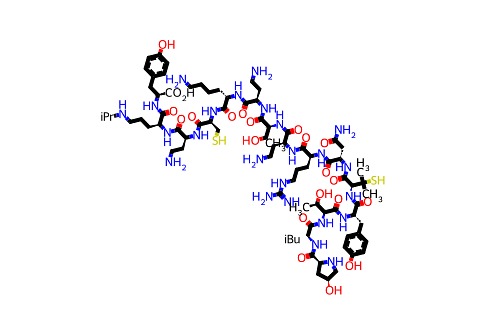 CC[C@H](C)[C@H](NC(=O)[C@@H]1C[C@@H](O)CN1)C(=O)N[C@H](C(=O)N[C@@H](Cc1ccc(O)cc1)C(=O)N[C@H](C(=O)N[C@@H](CC(N)=O)C(=O)N[C@@H](CCCNC(=N)N)C(=O)N[C@@H](CCN)C(=O)N[C@H](C(=O)N[C@H](CCN)C(=O)N[C@@H](CCCCN)C(=O)N[C@@H](CS)C(=O)N[C@@H](CCN)C(=O)N[C@@H](CCCNC(C)C)C(=O)N[C@@H](Cc1ccc(O)cc1)C(=O)O)[C@@H](C)O)C(C)(C)S)[C@@H](C)O